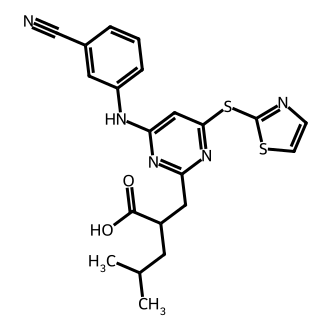 CC(C)CC(Cc1nc(Nc2cccc(C#N)c2)cc(Sc2nccs2)n1)C(=O)O